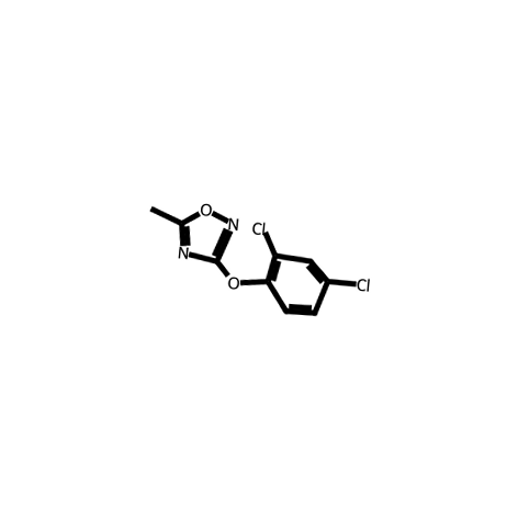 Cc1nc(Oc2ccc(Cl)cc2Cl)no1